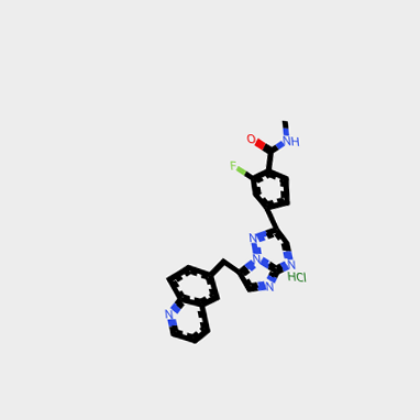 CNC(=O)c1ccc(-c2cnc3ncc(Cc4ccc5ncccc5c4)n3n2)cc1F.Cl